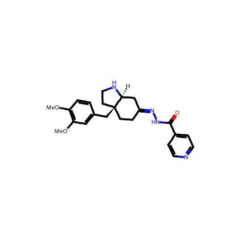 COc1ccc(C[C@@]23CCN[C@H]2CC(=NNC(=O)c2ccncc2)CC3)cc1OC